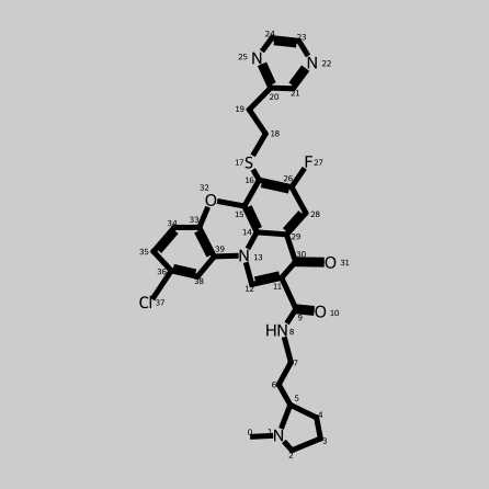 CN1CCCC1CCNC(=O)c1cn2c3c(c(SCCc4cnccn4)c(F)cc3c1=O)Oc1ccc(Cl)cc1-2